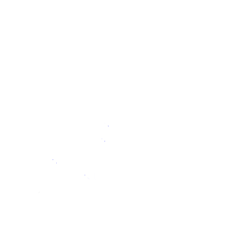 C=C1NN/C(CC/C=C(\C)CCC=C(C)C)=C\CSCC1NC(=C)C(NC(C)(C)C)[C@@H](C)CC